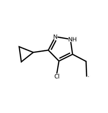 [CH2]Cc1[nH]nc(C2CC2)c1Cl